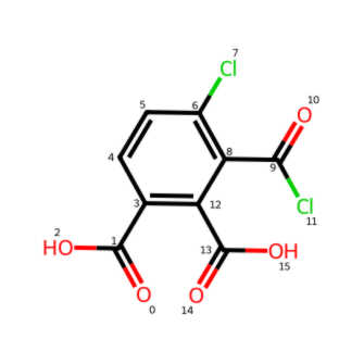 O=C(O)c1ccc(Cl)c(C(=O)Cl)c1C(=O)O